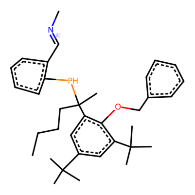 CCCCC(C)(Pc1ccccc1/C=N/C)c1cc(C(C)(C)C)cc(C(C)(C)C)c1OCc1ccccc1